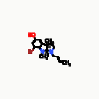 CC=CCN1CC[C@@]2(C)c3cc(O)cc(Br)c3N(C)[C@@H]12